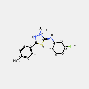 Cn1nc(-c2ccc(C#N)cc2)sc1=NC1CCCC(F)C1